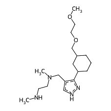 CNCCN(C)Cc1c[nH]nc1C1CCCC(COCCOC)C1